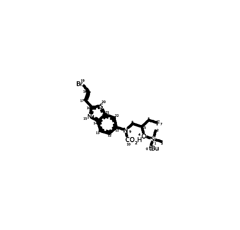 CC(C)(C)[Si](C)(C)OC(CF)CN(C(=O)O)c1ccc2nc(C=CBr)sc2c1